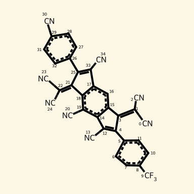 N#CC(C#N)=C1C(c2ccc(C(F)(F)F)cc2)=C(C#N)c2c1cc1c(c2C#N)C(=C(C#N)C#N)C(c2ccc(C#N)cc2)=C1C#N